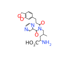 CC(C[C@@H](N)C(=O)O)CN(C(=O)CCc1ccc2c(c1)OOC2)C(=O)c1cnccn1